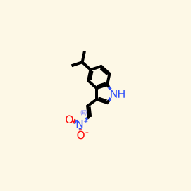 CC(C)c1ccc2[nH]cc(/C=C/[N+](=O)[O-])c2c1